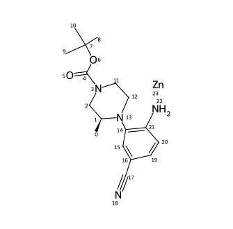 C[C@H]1CN(C(=O)OC(C)(C)C)CCN1c1cc(C#N)ccc1N.[Zn]